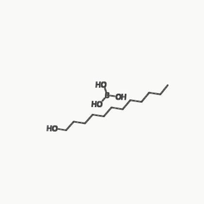 CCCCCCCCCCCCO.OB(O)O